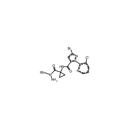 CC(C)(C)N(N)C(=O)C1(NC(=O)c2cc(Br)nn2-c2ncccc2Cl)CC1